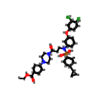 CCOC(=O)c1ccc(N2CCN(C(=O)CCN(c3cccc(Oc4ccc(Cl)c(Cl)c4)c3)S(=O)(=O)c3ccc(C4CC4)cc3)CC2)cc1